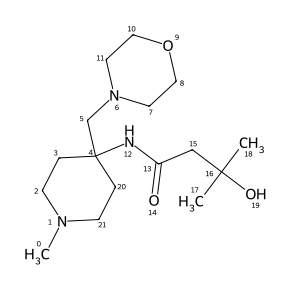 CN1CCC(CN2CCOCC2)(NC(=O)CC(C)(C)O)CC1